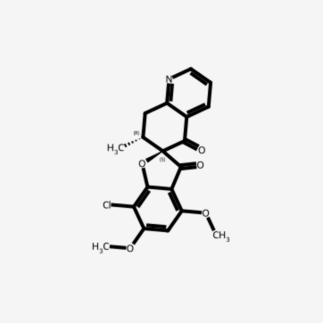 COc1cc(OC)c2c(c1Cl)O[C@@]1(C(=O)c3cccnc3C[C@H]1C)C2=O